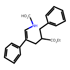 CCOC(=O)C(CC(=CNC(=O)O)c1ccccc1)Cc1ccccc1